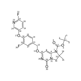 CC(C)(C)OC(=O)N1c2cc(OCc3ccc(Oc4ccc(F)nc4)c(F)c3)nc(=O)n2CC1(C)C